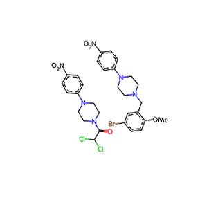 COc1ccc(Br)cc1CN1CCN(c2ccc([N+](=O)[O-])cc2)CC1.O=C(C(Cl)Cl)N1CCN(c2ccc([N+](=O)[O-])cc2)CC1